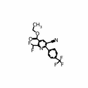 CCOC(=O)c1cc(C#N)c(-c2ccc(C(F)(F)F)cc2)nc1C(F)F